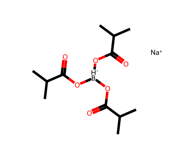 CC(C)C(=O)O[BH-](OC(=O)C(C)C)OC(=O)C(C)C.[Na+]